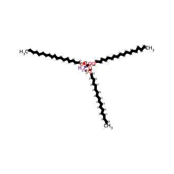 CCCCCCCCCCCCCCCCCCOOC(OOCCCCCCCCCCCCCCCCCC)(OOCCCCCCCCCCCCCCCCCC)[PH2]=S